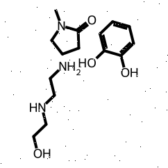 CN1CCCC1=O.NCCNCCO.Oc1ccccc1O